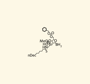 B[C@@H]1O[C@H](COC(=O)OCc2ccccc2)[C@H](OP(=O)(O)OC)C1CCCNC(=S)CCCCCCCCCCCCCCC